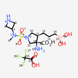 CN(C1CNC1)S(=O)(=O)N1C[C@@H](CCCB(O)O)[C@@](N)(C(=O)O)C1.O=C(O)C(F)(F)F